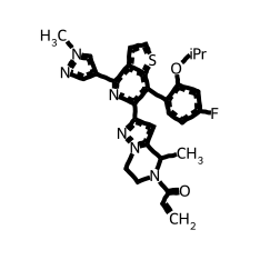 C=CC(=O)N1CCn2nc(-c3nc(-c4cnn(C)c4)c4ccsc4c3-c3ccc(F)cc3OC(C)C)cc2C1C